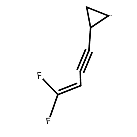 FC(F)=CC#CC1[CH]C1